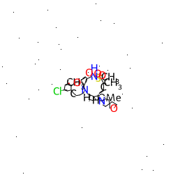 CO[C@@]1(CN2CCC3(CCOC3)CC2)/C=C/C[C@H](C)[C@@H](C)S(=O)(=O)NC(=O)c2ccc3c(c2)N(CCCCC2C=C(Cl)C=CC2(C)CO3)C[C@@H]2CC[C@H]21